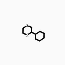 C1CCC(C2CSCCS2)CC1